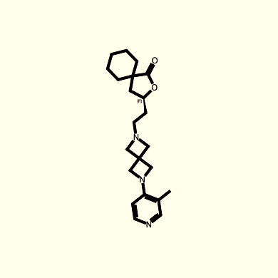 Cc1cnccc1N1CC2(CN(CC[C@H]3CC4(CCCCC4)C(=O)O3)C2)C1